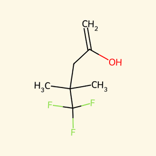 C=C(O)CC(C)(C)C(F)(F)F